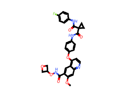 COc1cc2nccc(Oc3ccc(NC(=O)C4(C(=O)Nc5ccc(F)cc5)CC4)cc3)c2cc1C(=O)NOC1COC1